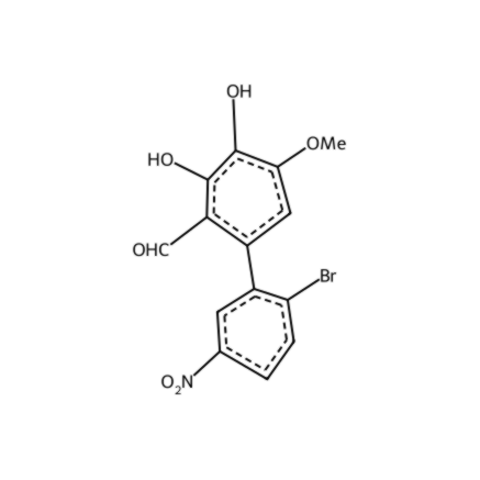 COc1cc(-c2cc([N+](=O)[O-])ccc2Br)c(C=O)c(O)c1O